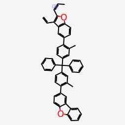 C=Cc1c(/C=C\C)oc2ccc(-c3ccc(C(c4ccccc4)(c4ccccc4)c4ccc(-c5ccc6oc7ccccc7c6c5)c(C)c4)cc3C)cc12